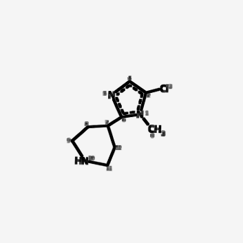 Cn1c(Cl)cnc1C1CCNCC1